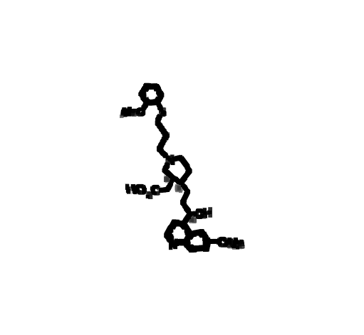 COc1ccc2nccc([C@H](O)CC[C@@H]3CCN(CCCSc4ccccc4OC)C[C@@H]3CC(=O)O)c2c1